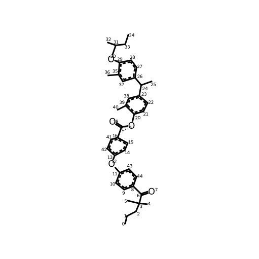 CCCC(C)(C)C(=O)c1ccc(Oc2ccc(C(=O)Oc3ccc(C(C)c4ccc(OC(C)CC)c(C)c4)cc3C)cc2)cc1